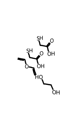 C=COC=C.O=C(O)CS.O=C(O)CS.OCCO